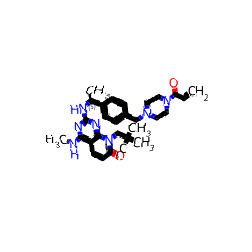 C=CC(=O)N1CCN(Cc2ccc([C@H](C)Nc3nc(NC)c4ccc(=O)n(CC(C)(C)C)c4n3)cc2)CC1